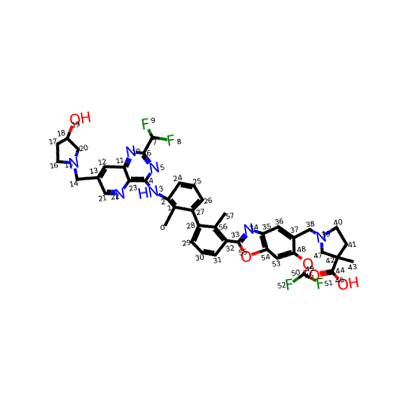 Cc1c(Nc2nc(C(F)F)nc3cc(CN4CCC(O)C4)cnc23)cccc1-c1cccc(-c2nc3cc(CN4CCC(C)(C(=O)O)C4)c(OC(F)F)cc3o2)c1C